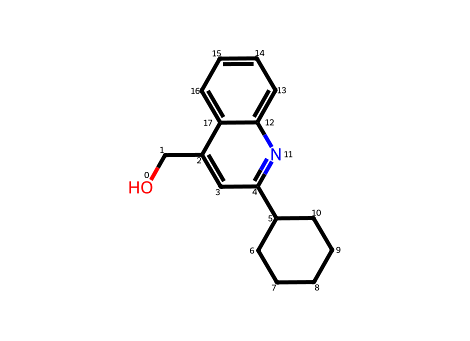 OCc1cc(C2CCCCC2)nc2ccccc12